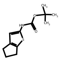 CC(C)(C)OC(=O)Nc1cc2c(s1)CCC2